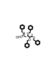 C[C@@H](OCc1ccccc1)[C@@H](OCc1ccccc1)[C@H](CN(C=O)OCc1ccccc1)OCc1ccccc1